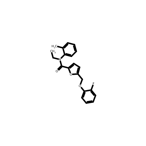 CCN(C(=O)c1ccc(COc2ccccc2F)o1)c1ccccc1C